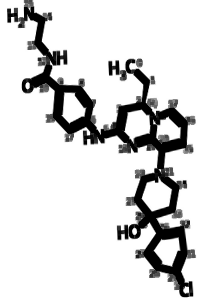 CC[C@@H]1C=C(Nc2ccc(C(=O)NCCN)cc2)N=C2C(N3CCC(O)(c4ccc(Cl)cc4)CC3)=CC=CN21